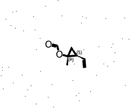 C=C[C@@H]1C[C@@]1(C)OC=O